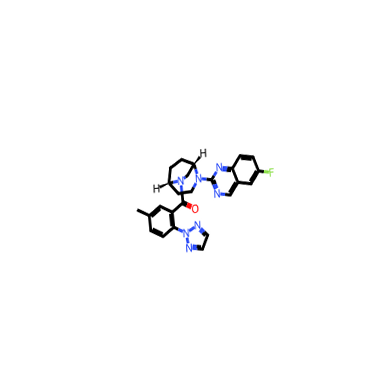 Cc1ccc(-n2nccn2)c(C(=O)N2C[C@@H]3CC[C@H]2CCN3c2ncc3cc(F)ccc3n2)c1